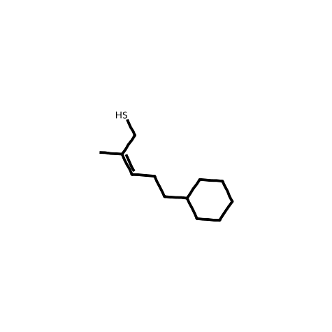 CC(=CCCC1CCCCC1)CS